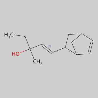 CCC(C)(O)/C=C/C1CC2C=CC1C2